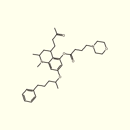 CC(=O)CCC1CC(C)N(C)c2cc(OC(C)CCCc3ccccc3)cc(OC(=O)CCCN3CCOCC3)c21